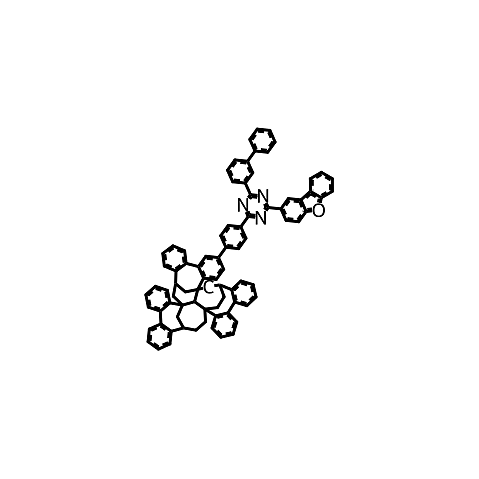 c1ccc(-c2cccc(-c3nc(-c4ccc(-c5ccc6c(c5)-c5ccccc5C5CC78CC(CCC9%10CCC(CC6(C5)C97)c5ccccc5-c5ccccc5%10)c5ccccc5-c5ccccc58)cc4)nc(-c4ccc5oc6ccccc6c5c4)n3)c2)cc1